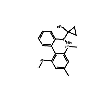 CCCCP(c1ccccc1-c1c(PC)cc(C)cc1PC)C1(CCC)CC1